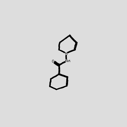 O=C(NN1CCCCC1)C1CCCCC1